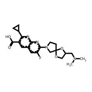 CN(C)CC1COC2(CCN(c3nc4nc(C5CC5)c(C(=O)O)cc4cc3F)C2)O1